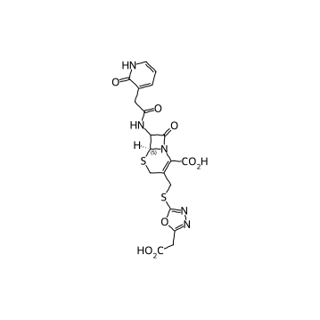 O=C(O)Cc1nnc(SCC2=C(C(=O)O)N3C(=O)C(NC(=O)Cc4ccc[nH]c4=O)[C@@H]3SC2)o1